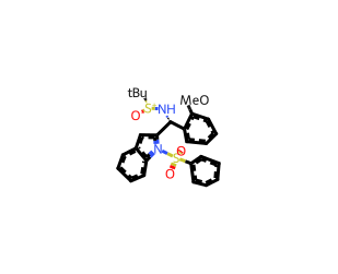 COc1ccccc1[C@@H](N[S@@+]([O-])C(C)(C)C)c1cc2ccccc2n1S(=O)(=O)c1ccccc1